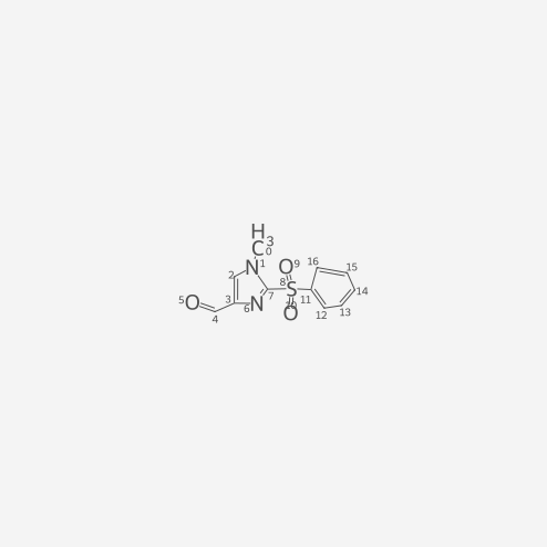 Cn1cc(C=O)nc1S(=O)(=O)c1ccccc1